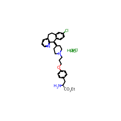 CCOC(=O)[C@@H](N)Cc1ccc(OCCCN2CCC(=C3c4ccc(Cl)cc4CCc4cccnc43)CC2)cc1.Cl.Cl.Cl